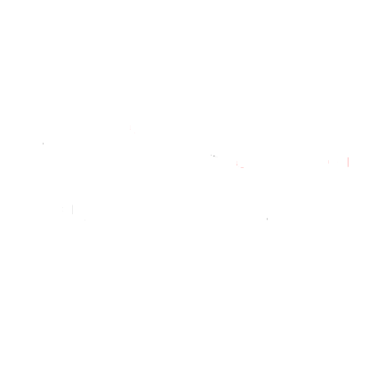 C=C(C(=O)OC1C2OC3C(COC31)C2CO)C(F)(F)F